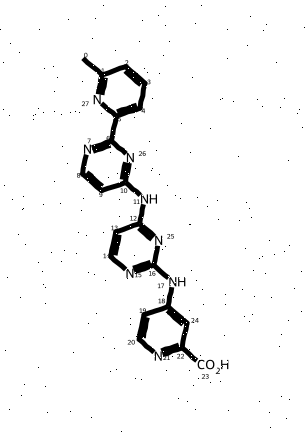 Cc1cccc(-c2nccc(Nc3ccnc(Nc4ccnc(C(=O)O)c4)n3)n2)n1